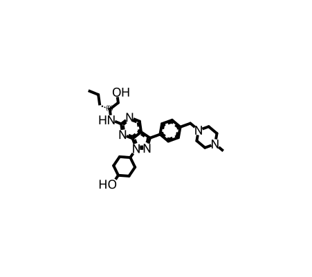 CCC[C@H](CO)Nc1ncc2c(-c3ccc(CN4CCN(C)CC4)cc3)nn(C3CCC(O)CC3)c2n1